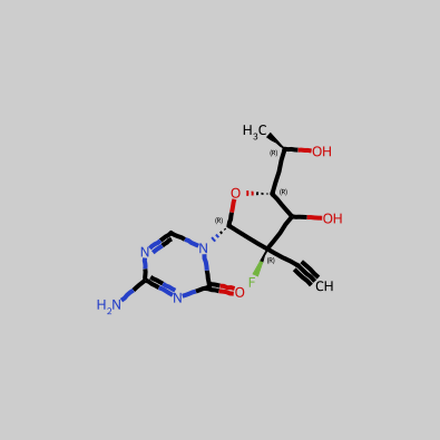 C#C[C@@]1(F)C(O)[C@@H]([C@@H](C)O)O[C@H]1n1cnc(N)nc1=O